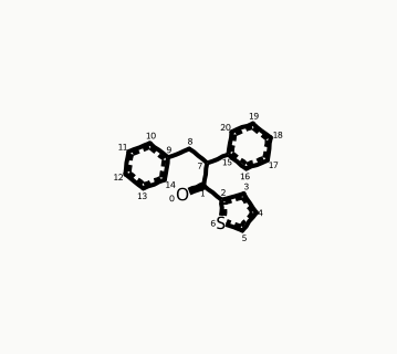 O=C(c1cccs1)C(Cc1ccccc1)c1ccccc1